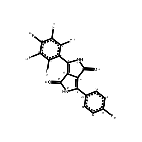 O=C1NC(c2c(F)c(F)c(F)c(F)c2F)=C2C(=O)NC(c3ccc(F)cc3)=C12